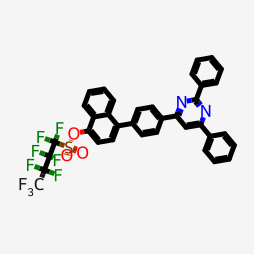 O=S(=O)(Oc1ccc(-c2ccc(-c3cc(-c4ccccc4)nc(-c4ccccc4)n3)cc2)c2ccccc12)C(F)(F)C(F)(F)C(F)(F)C(F)(F)F